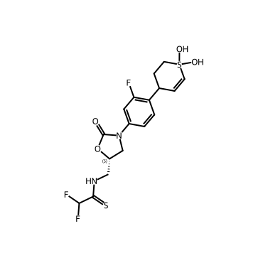 O=C1O[C@@H](CNC(=S)C(F)F)CN1c1ccc(C2C=CS(O)(O)CC2)c(F)c1